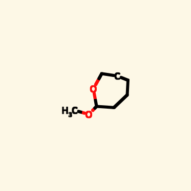 COC1CCCCCO1